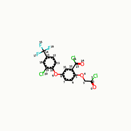 O=C(Cl)COc1ccc(Oc2ccc(C(F)(F)F)cc2Cl)cc1C(=O)Cl